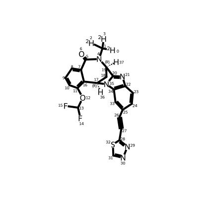 [2H]C([2H])([2H])N1C(=O)c2cccc(OC(F)F)c2[C@H]2C[C@@H]1c1nc3ccc(C#Cc4nncs4)cc3n12